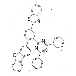 c1ccc(-c2nc(-c3ccccc3)nc(-c3cc(-c4nc5ccccc5s4)ccc3-c3ccc4c(c3)oc3ccccc34)n2)cc1